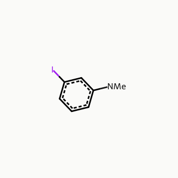 CNc1cccc(I)c1